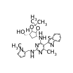 Cc1nc(NCc2cccn2C)nc(N[C@@H]2C[C@H](CO)[C@H]3OC(C)(C)O[C@H]32)c1-c1nc2ccccc2s1